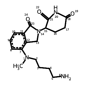 CN(CCCCN)c1cccc2c1CN(C1CCC(=O)NC1=O)C2=O